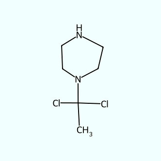 CC(Cl)(Cl)N1CCNCC1